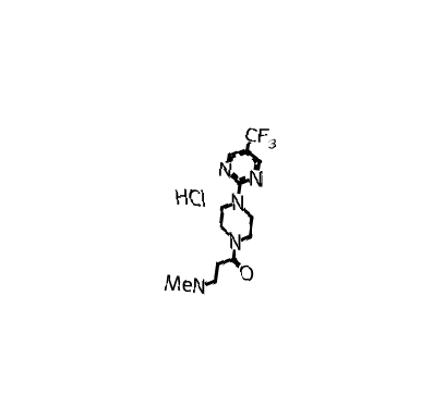 CNCCC(=O)N1CCN(c2ncc(C(F)(F)F)cn2)CC1.Cl